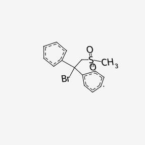 CS(=O)(=O)CC(Br)(c1cc[c]cc1)c1ccccc1